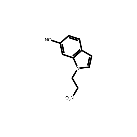 N#Cc1ccc2ccn(CC[N+](=O)[O-])c2c1